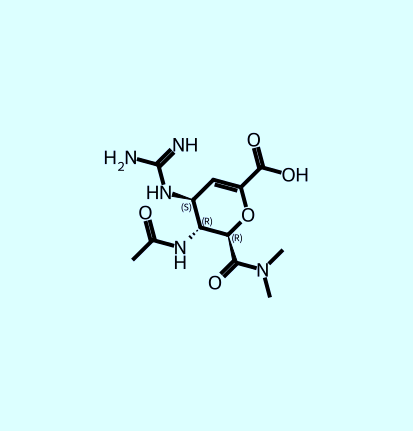 CC(=O)N[C@@H]1[C@@H](NC(=N)N)C=C(C(=O)O)O[C@H]1C(=O)N(C)C